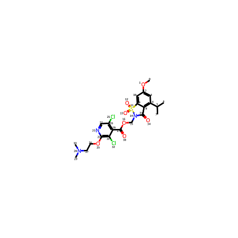 COc1cc(C(C)C)c2c(c1)S(=O)(=O)N(COC(=O)c1c(Cl)cnc(OCCN(C)C)c1Cl)C2=O